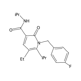 CCc1cc(C(=O)NC(C)C)c(=O)n(Cc2ccc(F)cc2)c1C(C)C